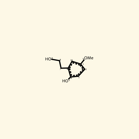 COc1ccc(O)c(CCO)c1